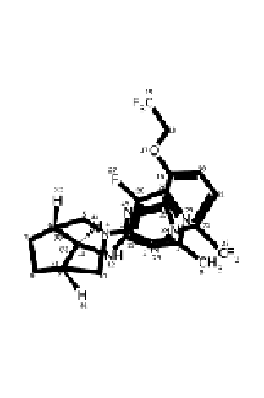 Cc1cc(N2C[C@H]3CC[C@@H](C2)[C@@H]3Nc2nc3c(OCC(F)(F)F)ccc(C(F)(F)F)n3n2)c(F)cn1